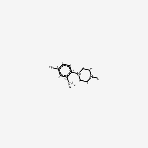 CN1CCN(c2ccc(F)cc2N)CC1